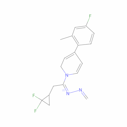 C=N/N=C(/CC1CC1(F)F)N1C=CC(c2ccc(F)cc2C)=CC1